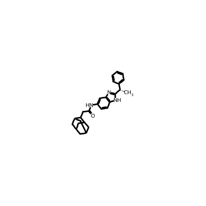 C[C@@H](c1ccccc1)c1nc2cc(NC(=O)CC3C4CC5CC(C4)CC3C5)ccc2[nH]1